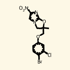 CC1(COc2ccc(Br)c(Cl)c2)Cn2cc([N+](=O)[O-])nc2O1